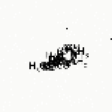 CC[C@H]1OC(=O)C(C)[C@@](O)(CNc2ccc(Oc3ccc(C)cc3)cc2)[C@H](C)C[C@@H](COC)C[C@@H](C)CN[C@H](C)C[C@@H]1O